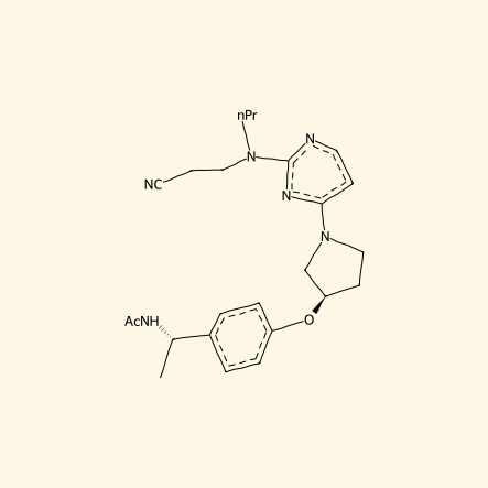 CCCN(CCC#N)c1nccc(N2CC[C@@H](Oc3ccc([C@H](C)NC(C)=O)cc3)C2)n1